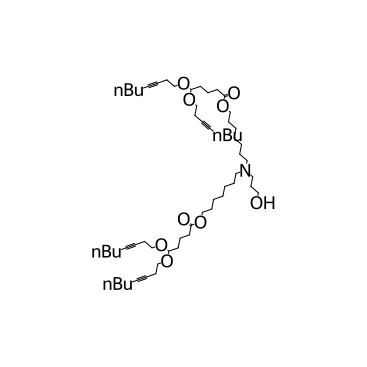 CCCCC#CCCOC(CCCC(=O)OCCCCCCCN(CCCO)CCCCCCCOC(=O)CCCC(OCCC#CCCCC)OCCC#CCCCC)OCCC#CCCCC